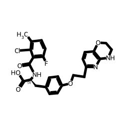 Cc1ccc(F)c(C(=O)N[C@@H](Cc2ccc(OCCc3ccc4c(n3)NCCO4)cc2)C(=O)O)c1Cl